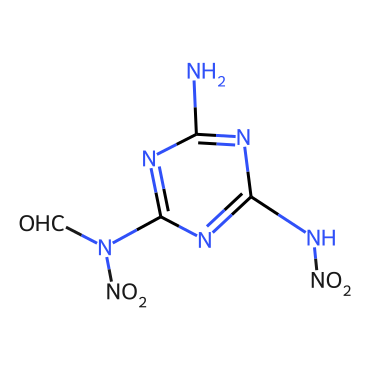 Nc1nc(N[N+](=O)[O-])nc(N(C=O)[N+](=O)[O-])n1